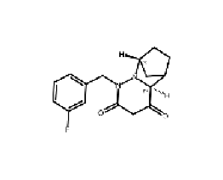 O=C1CC(=O)N(Cc2cccc(F)c2)N2[C@@H]3CCC(C3)[C@@H]12